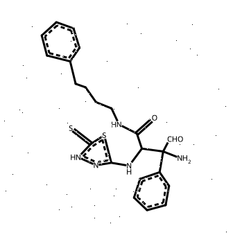 NC(C=O)(c1ccccc1)C(Nc1n[nH]c(=S)s1)C(=O)NCCCCc1ccccc1